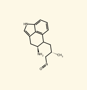 C[C@H](CN=O)CC1c2cccc3[nH]cc(c23)C[C@@H]1N